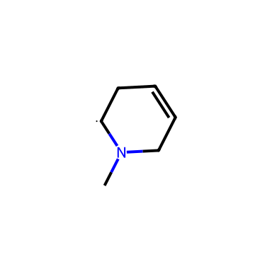 CN1[CH]CC=CC1